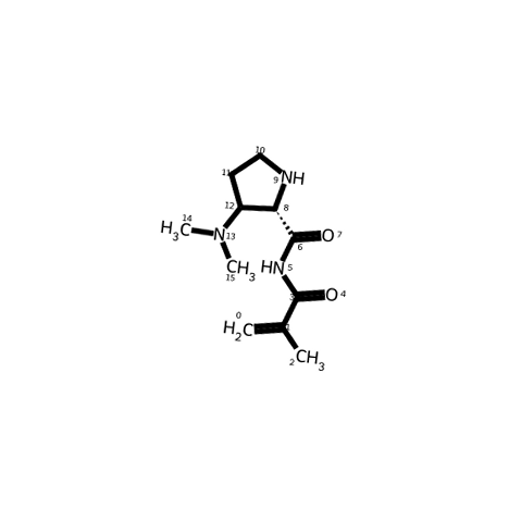 C=C(C)C(=O)NC(=O)[C@H]1NCCC1N(C)C